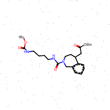 COC(=O)CC1CCN(C(=O)NCCCCNC(=O)OC(C)(C)C)Cc2ccccc21